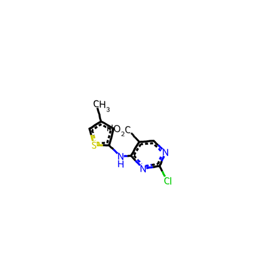 Cc1csc(Nc2nc(Cl)ncc2C(=O)O)c1